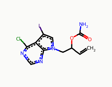 C=CC(Cn1cc(I)c2c(Cl)ncnc21)OC(N)=O